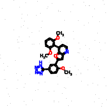 COc1ccc(-c2nnn[nH]2)cc1-c1cc2nccc(-c3c(OC)cccc3OC)c2o1